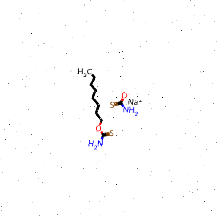 CCCCCCCCOC(N)=S.NC([O-])=S.[Na+]